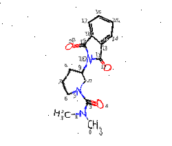 CN(C)C(=O)N1CCCC(N2C(=O)c3ccccc3C2=O)C1